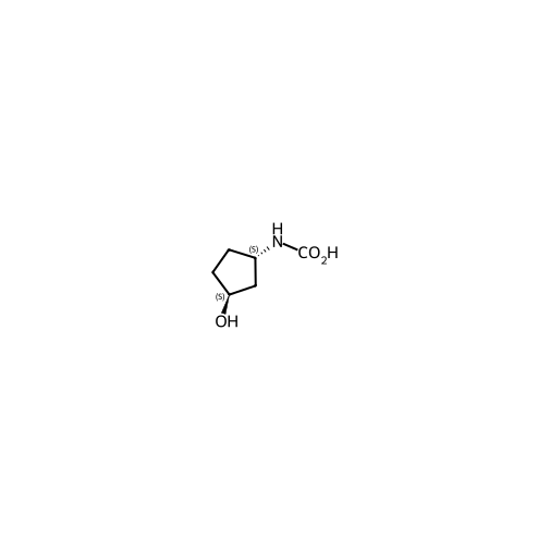 O=C(O)N[C@H]1CC[C@H](O)C1